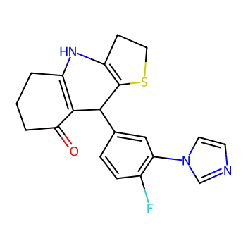 O=C1CCCC2=C1C(c1ccc(F)c(-n3ccnc3)c1)C1=C(CCS1)N2